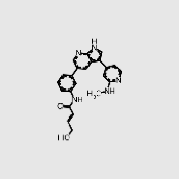 CNc1cc(-c2c[nH]c3ncc(-c4cccc(NC(=O)/C=C/CO)c4)cc23)ccn1